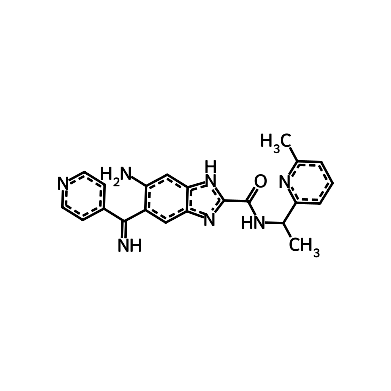 Cc1cccc(C(C)NC(=O)c2nc3cc(C(=N)c4ccncc4)c(N)cc3[nH]2)n1